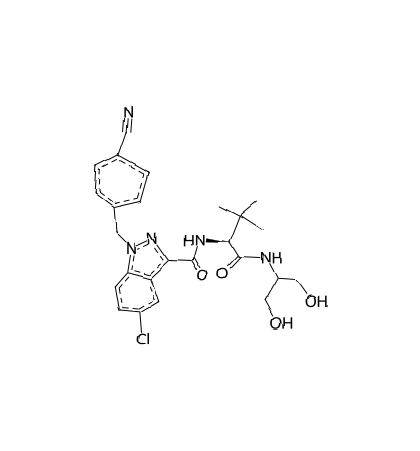 CC(C)(C)[C@H](NC(=O)c1nn(Cc2ccc(C#N)cc2)c2ccc(Cl)cc12)C(=O)NC(CO)CO